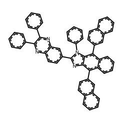 c1ccc(-c2nc3ccc(-c4nc5c(-c6ccc7ccccc7c6)c6ccccc6c(-c6ccc7ccccc7c6)c5n4-c4ccccc4)cc3nc2-c2ccccc2)cc1